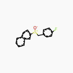 [O-][S+](Cc1ccc(F)cc1)c1ccc2ccccc2c1